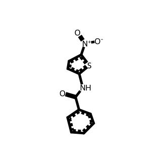 O=C(Nc1ccc([N+](=O)[O-])s1)c1ccccc1